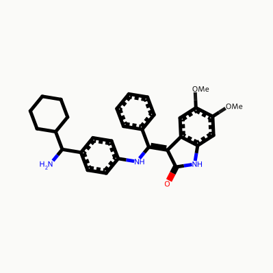 COc1cc2c(cc1OC)/C(=C(/Nc1ccc(C(N)C3CCCCC3)cc1)c1ccccc1)C(=O)N2